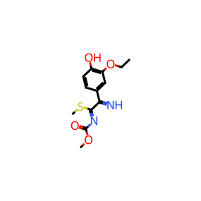 CCOc1cc(C(=N)C(=NC(=O)OC)SC)ccc1O